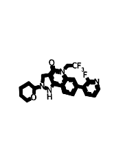 O=c1c2c(c3ccc(-c4cccnc4F)cc3n1CC(F)(F)F)NN(C1CCCCO1)C2